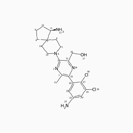 Cc1nc(N2CCC3(CCC[C@H]3N)CC2)c(CO)nc1-c1cc(N)cc(Cl)c1Cl